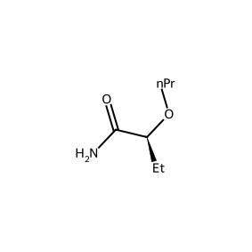 CCCO[C@@H](CC)C(N)=O